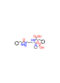 N[C@@H](Cc1ccccc1)C(=O)NCCCC[C@H](NC(CCc1ccccc1)C(=O)O)C(=O)N1CCC[C@H]1C(=O)O